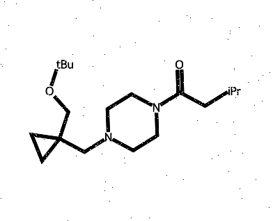 CC(C)CC(=O)N1CCN(CC2(COC(C)(C)C)CC2)CC1